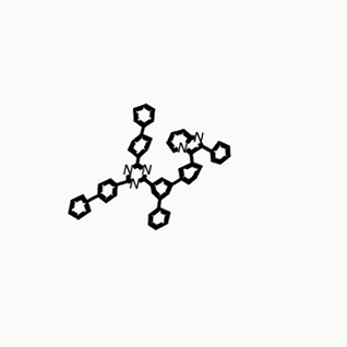 c1ccc(-c2ccc(-c3nc(-c4ccc(-c5ccccc5)cc4)nc(-c4cc(-c5ccccc5)cc(-c5cccc(-c6c(-c7ccccc7)nc7ccccn67)c5)c4)n3)cc2)cc1